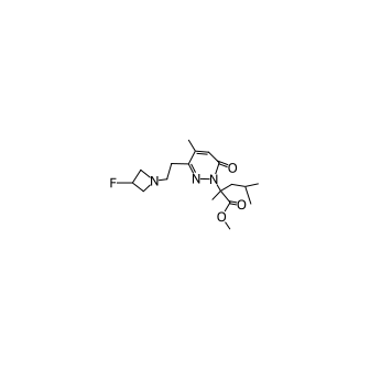 COC(=O)C(C)(CC(C)C)n1nc(CCN2CC(F)C2)c(C)cc1=O